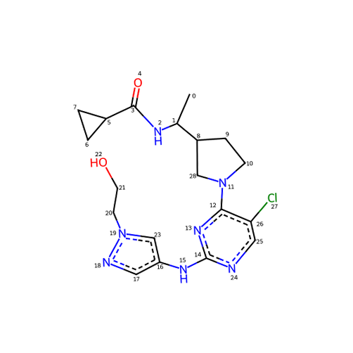 CC(NC(=O)C1CC1)C1CCN(c2nc(Nc3cnn(CCO)c3)ncc2Cl)C1